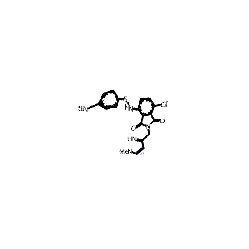 CN/C=C\C(=N)CN1C(=O)c2c(Cl)ccc(NSc3ccc(C(C)(C)C)cc3)c2C1=O